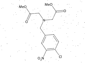 COC(=O)CN(CC(=O)OC)Cc1ccc(Cl)c([N+](=O)[O-])c1